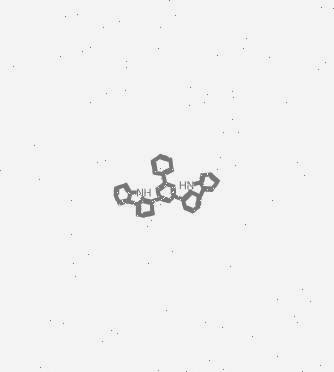 c1ccc(-c2cc(-c3cccc4c3[nH]c3ccccc34)cc(-c3cccc4c3[nH]c3ccccc34)c2)cc1